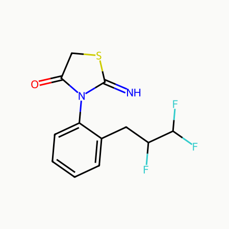 N=C1SCC(=O)N1c1ccccc1CC(F)C(F)F